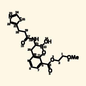 COCCOC(=O)c1cccc2c1OB(O)C(NC(=O)CCc1cncs1)C2